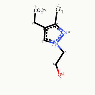 O=C(O)Cc1cn(CCO)nc1C(F)(F)F